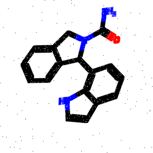 NC(=O)N1Cc2ccccc2C1c1cccc2cc[nH]c12